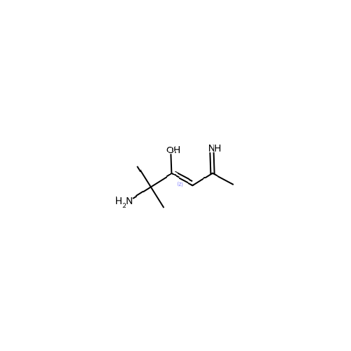 CC(=N)/C=C(\O)C(C)(C)N